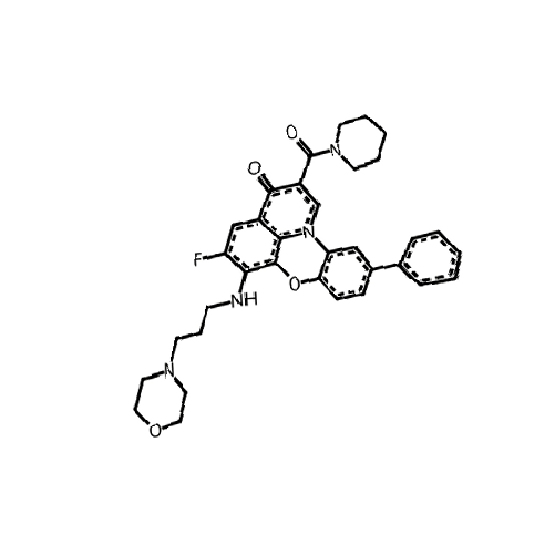 O=C(c1cn2c3c(c(NCCCN4CCOCC4)c(F)cc3c1=O)Oc1ccc(-c3ccccc3)cc1-2)N1CCCCC1